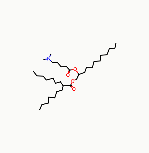 CCCCCCCCCCC(COC(=O)C(CCCCCCC)CCCCCCC)OC(=O)CCCCN(C)C